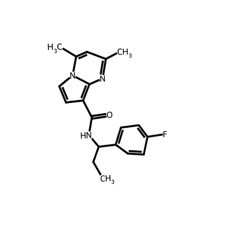 CCC(NC(=O)c1ccn2c(C)cc(C)nc12)c1ccc(F)cc1